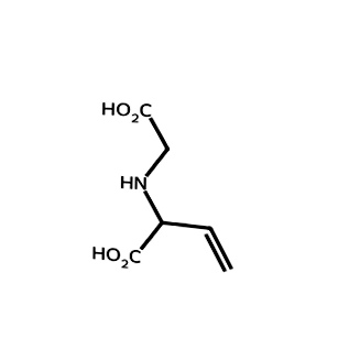 C=CC(NCC(=O)O)C(=O)O